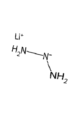 N[N-]N.[Li+]